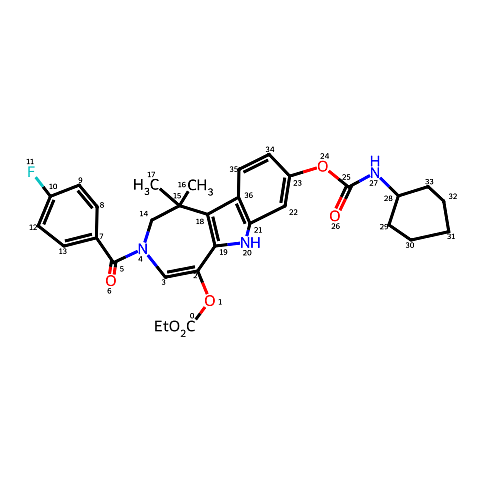 CCOC(=O)OC1=CN(C(=O)c2ccc(F)cc2)CC(C)(C)c2c1[nH]c1cc(OC(=O)NC3CCCCC3)ccc21